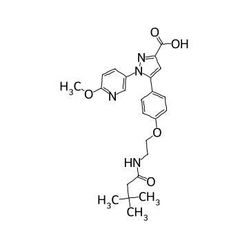 COc1ccc(-n2nc(C(=O)O)cc2-c2ccc(OCCNC(=O)CC(C)(C)C)cc2)cn1